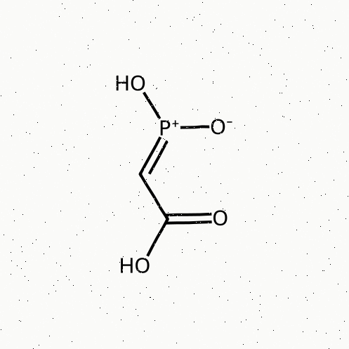 O=C(O)/C=[P+](\[O-])O